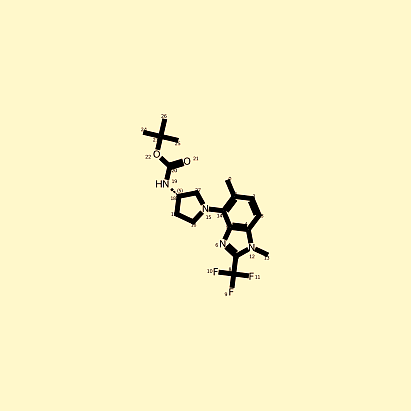 Cc1ccc2c(nc(C(F)(F)F)n2C)c1N1CC[C@H](NC(=O)OC(C)(C)C)C1